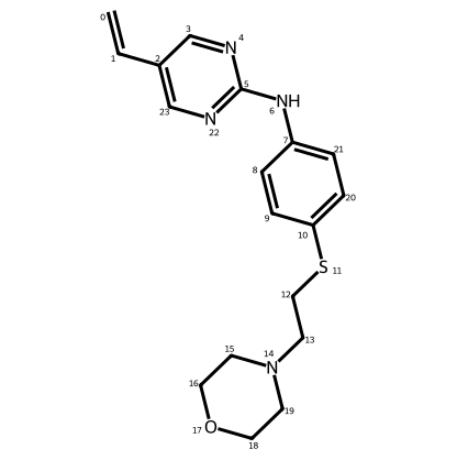 C=Cc1cnc(Nc2ccc(SCCN3CCOCC3)cc2)nc1